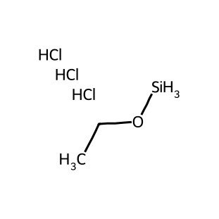 CCO[SiH3].Cl.Cl.Cl